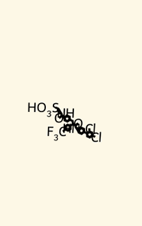 O=C(NCCS(=O)(=O)O)c1ccc(CC(C(=O)Nc2ccc(-c3ccc(Cl)cc3Cl)cc2)c2ccc(C(F)(F)F)cc2)cc1